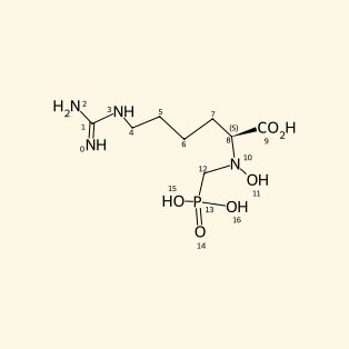 N=C(N)NCCCC[C@@H](C(=O)O)N(O)CP(=O)(O)O